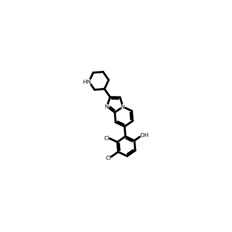 Oc1ccc(Cl)c(Cl)c1-c1ccn2cc(C3CCCNC3)nc2c1